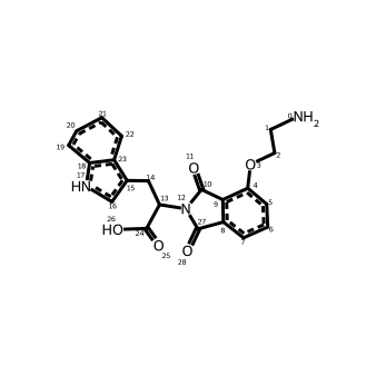 NCCOc1cccc2c1C(=O)N(C(Cc1c[nH]c3ccccc13)C(=O)O)C2=O